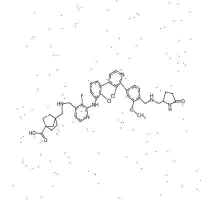 COc1cc(-c2nccc(-c3cccc(Nc4nccc(CNCC56CCC(C(=O)O)(CC5)C6)c4F)c3Cl)c2Cl)ccc1CNCC1CCC(=O)N1